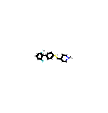 CC(=O)N1CCC(CSc2ccc(-c3c(F)cccc3F)cc2)CC1